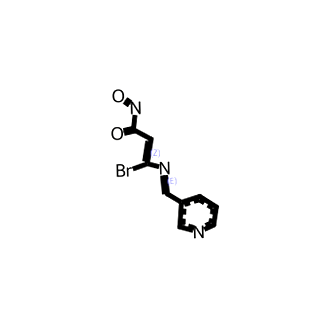 O=NC(=O)/C=C(Br)/N=C/c1cccnc1